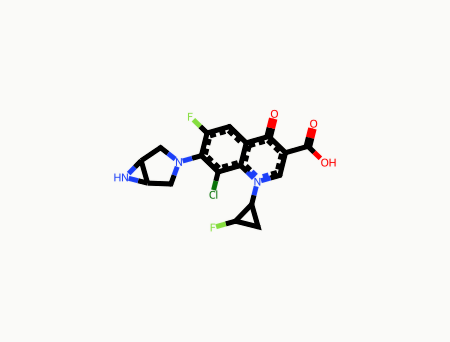 O=C(O)c1cn(C2CC2F)c2c(Cl)c(N3CC4NC4C3)c(F)cc2c1=O